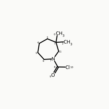 CC1(C)CCCCN(C(=O)Cl)C1